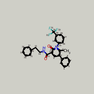 Cc1c(-c2ccccc2)cc(C(=O)NCCc2ccccc2)c(=O)n1-c1cccc(C(F)(F)F)c1